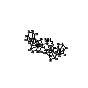 NC(CCP(C12CC3CC(CC(C3)C1)C2)C12CC3CC(CC(C3)C1)C2)CCP(C12CC3CC(CC(C3)C1)C2)C12CC3CC(CC(C3)C1)C2